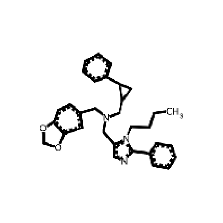 CCCCn1c(CN(Cc2ccc3c(c2)OCO3)CC2CC2c2ccccc2)cnc1-c1ccccc1